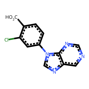 O=C(O)c1ccc(-n2cnc3cncnc32)cc1Cl